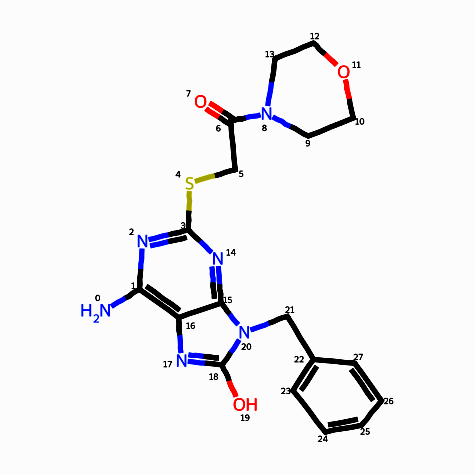 Nc1nc(SCC(=O)N2CCOCC2)nc2c1nc(O)n2Cc1ccccc1